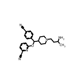 CC(N)CCN1CCC(C(Oc2cccc(C#N)n2)c2ccc(C#N)cc2)CC1